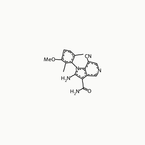 COc1ccc(C)c(-n2c(N)c(C(N)=O)c3cncc(C#N)c32)c1C